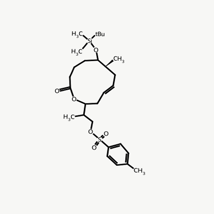 Cc1ccc(S(=O)(=O)OCC(C)C2C/C=C/C[C@H](C)C(O[Si](C)(C)C(C)(C)C)CCCC(=O)O2)cc1